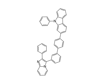 c1ccc(-c2nc3ccccn3c2-c2cccc(-c3ccc(-c4ccc5c6ccccc6n(-c6ccccc6)c5c4)cc3)c2)cc1